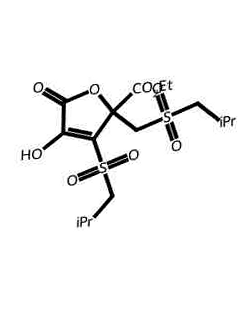 CCOC(=O)C1(CS(=O)(=O)CC(C)C)OC(=O)C(O)=C1S(=O)(=O)CC(C)C